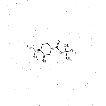 C/C(N)=C1\CCN(C(=O)OC(C)(C)C)CC1=N